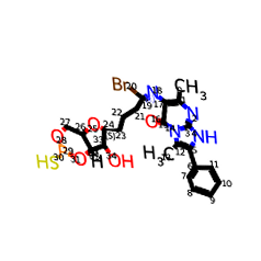 Cc1nc2[nH]c(-c3ccccc3)c(C)n2c(=O)c1/N=C(/Br)CCC[C@@H]1OC2COP(S)O[C@H]2C1O